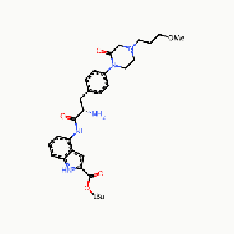 COCCCN1CCN(c2ccc(C[C@H](N)C(=O)Nc3cccc4[nH]c(C(=O)OC(C)(C)C)cc34)cc2)C(=O)C1